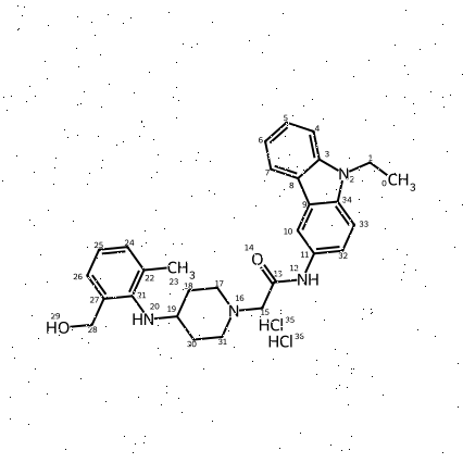 CCn1c2ccccc2c2cc(NC(=O)CN3CCC(Nc4c(C)cccc4CO)CC3)ccc21.Cl.Cl